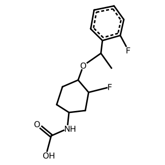 CC(OC1CCC(NC(=O)O)CC1F)c1ccccc1F